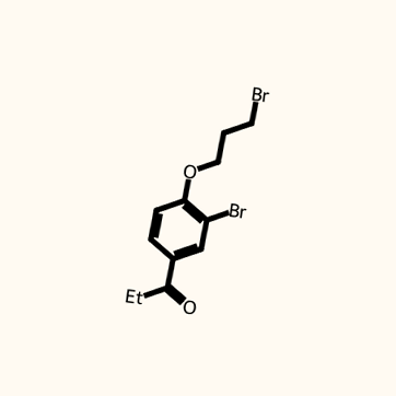 CCC(=O)c1ccc(OCCCBr)c(Br)c1